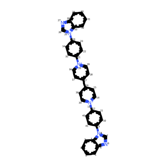 c1ccc2c(c1)ncn2-c1ccc(-[n+]2ccc(-c3cc[n+](-c4ccc(-n5cnc6ccccc65)cc4)cc3)cc2)cc1